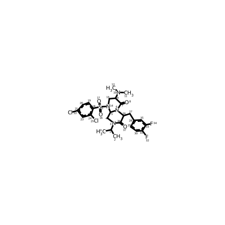 CC(C)N1CC2N(C(=O)C(N(C)C)CN2S(=O)(=O)c2ccc(Cl)cc2Cl)C(Cc2ccc(F)c(F)c2)C1=O